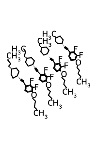 CCCCCOc1ccc(C#C[C@H]2CC[C@H](C)CC2)c(F)c1F.CCCCCOc1ccc(C#C[C@H]2CC[C@H](CC)CC2)c(F)c1F.CCCCCOc1ccc(C#C[C@H]2CC[C@H](CCC)CC2)c(F)c1F.CCCCCOc1ccc(C#C[C@H]2CC[C@H](CCCC)CC2)c(F)c1F